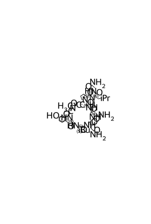 CC[C@H](C)[C@@H]1NC(=O)[C@H](Cc2ccc(O)cc2)NC(=O)CN(C)C(=O)CC[C@@H](C(=O)N2CCC[C@H]2C(=O)N[C@@H](CC(C)C)C(=O)NCC(N)=O)NC(=O)[C@H](CC(N)=O)NC(=O)[C@H](CCC(N)=O)NC1=O